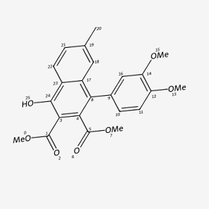 COC(=O)c1c(C(=O)OC)c(-c2ccc(OC)c(OC)c2)c2cc(C)ccc2c1O